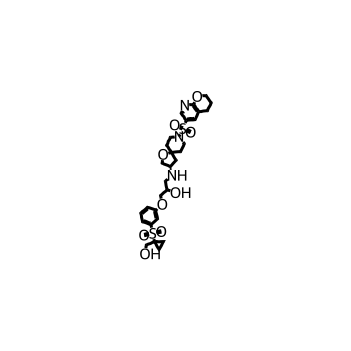 O=S(=O)(c1cnc2c(c1)CCCO2)N1CCC2(CC1)C[C@@H](NCC(O)COc1cccc(S(=O)(=O)C3(CO)CC3)c1)CO2